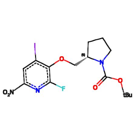 CC(C)(C)OC(=O)N1CCC[C@H]1COc1c(I)cc([N+](=O)[O-])nc1F